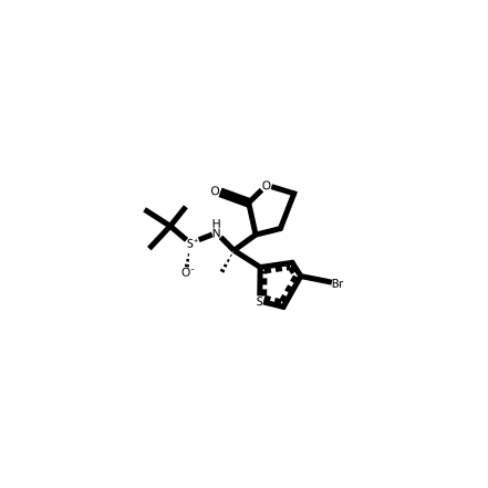 CC(C)(C)[S@@+]([O-])N[C@](C)(c1cc(Br)cs1)C1CCOC1=O